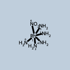 [NH2][Rh]([NH2])([NH2])([NH2])([NH2])[N+](=O)[O-]